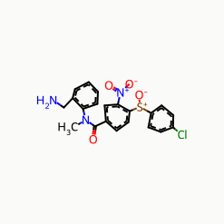 CN(C(=O)c1ccc([S+]([O-])c2ccc(Cl)cc2)c([N+](=O)[O-])c1)c1ccccc1CN